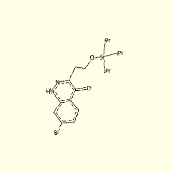 CC(C)[Si](OCCc1n[nH]c2cc(Br)ccc2c1=O)(C(C)C)C(C)C